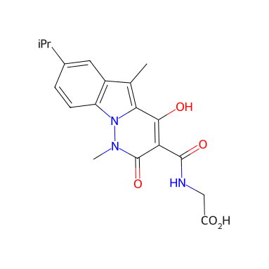 Cc1c2cc(C(C)C)ccc2n2c1c(O)c(C(=O)NCC(=O)O)c(=O)n2C